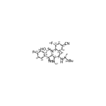 C[C@H](NC(=O)c1c(N(c2ccc(C#N)cc2F)S(=O)(=O)O)c(-c2ccc(F)cc2)nn1C)C(C)(C)C